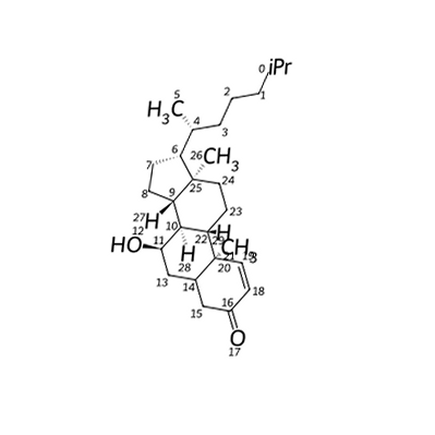 CC(C)CCC[C@@H](C)[C@H]1CC[C@H]2[C@@H]3[C@H](O)CC4CC(=O)C=C[C@]4(C)[C@H]3CC[C@]12C